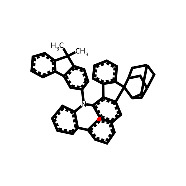 CC1(C)c2ccccc2-c2cc(N(c3ccccc3-c3ccccc3)c3cccc4c3-c3ccccc3C43C4CC5CC(C4)CC3C5)ccc21